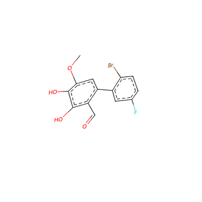 COc1cc(-c2cc(F)ccc2Br)c(C=O)c(O)c1O